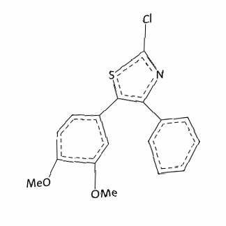 COc1ccc(-c2sc(Cl)nc2-c2ccccc2)cc1OC